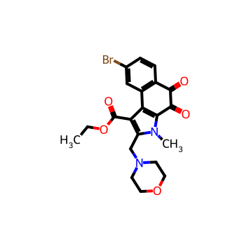 CCOC(=O)c1c2c(n(C)c1CN1CCOCC1)C(=O)C(=O)c1ccc(Br)cc1-2